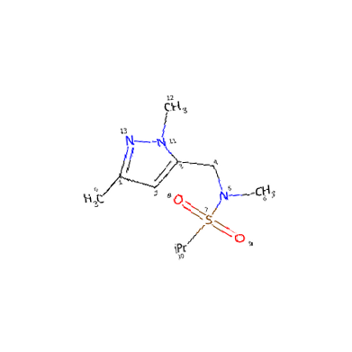 Cc1cc(CN(C)S(=O)(=O)C(C)C)n(C)n1